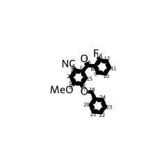 COc1cc(C#N)c(C(=O)c2ccccc2F)cc1OCc1ccccc1